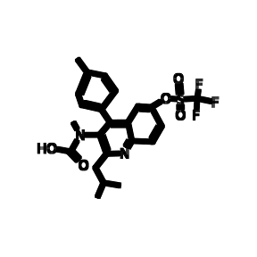 Cc1ccc(-c2c(N(C)C(=O)O)c(CC(C)C)nc3ccc(OS(=O)(=O)C(F)(F)F)cc23)cc1